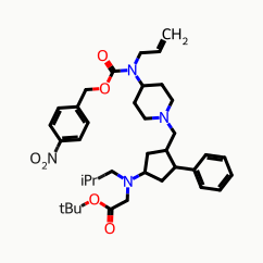 C=CCN(C(=O)OCc1ccc([N+](=O)[O-])cc1)C1CCN(CC2CC(N(CC(=O)OC(C)(C)C)CC(C)C)CC2c2ccccc2)CC1